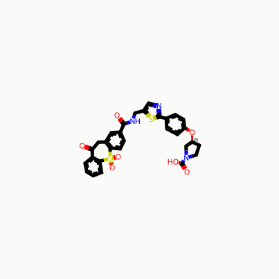 O=C(NCc1cnc(-c2ccc(O[C@H]3CCN(C(=O)O)C3)cc2)s1)c1ccc2c(c1)CC(=O)c1ccccc1S2(=O)=O